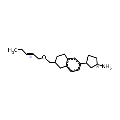 CC/C=C/COCC1CCc2cc(C3CC[C@@H](N)C3)ccc2C1